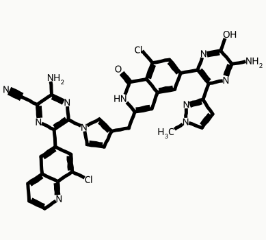 Cn1ccc(-c2nc(N)c(O)nc2-c2cc(Cl)c3c(=O)[nH]c(Cc4ccn(-c5nc(N)c(C#N)nc5-c5cc(Cl)c6ncccc6c5)c4)cc3c2)n1